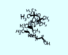 C=CC.C=CC.CC(C)(C)OC(C)(C)C.OCCO